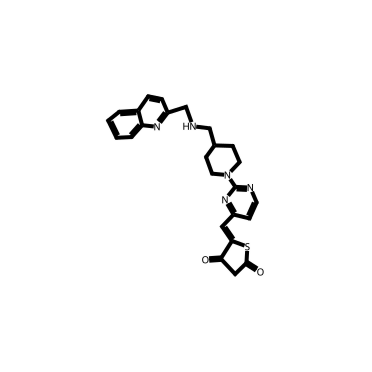 O=C1CC(=O)/C(=C/c2ccnc(N3CCC(CNCc4ccc5ccccc5n4)CC3)n2)S1